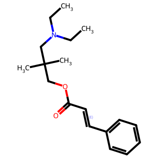 CCN(CC)CC(C)(C)COC(=O)/C=C/c1ccccc1